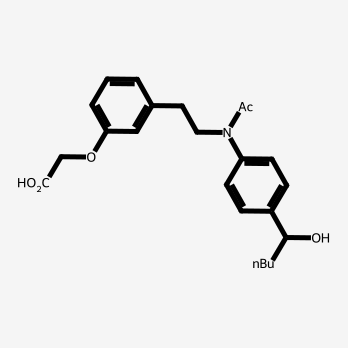 CCCCC(O)c1ccc(N(CCc2cccc(OCC(=O)O)c2)C(C)=O)cc1